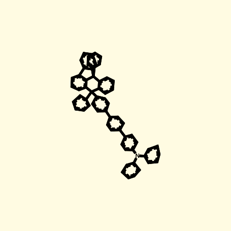 c1ccc(N(c2ccccc2)c2ccc(-c3ccc(-c4ccc(C5(c6ccccc6)c6ccccc6C6(c7ccccc7)c7ccccc7-c7cccc5c76)cc4)cc3)cc2)cc1